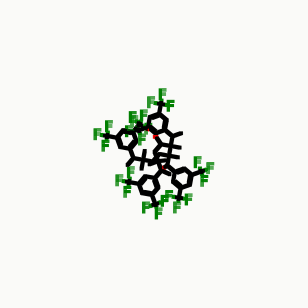 CC(c1cc(C(F)(F)F)cc(C(F)(F)F)c1)C(C)(C)CCC(C)(C(C)c1cc(C(F)(F)F)cc(C(F)(F)F)c1)C(C)(C(C)CC(C)(C)C(C)c1cc(C(F)(F)F)cc(C(F)(F)F)c1)C(C)c1cc(C(F)(F)F)cc(C(F)(F)F)c1